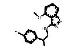 COc1cccc2onc(NCC(C)c3ccc(Cl)cc3)c12